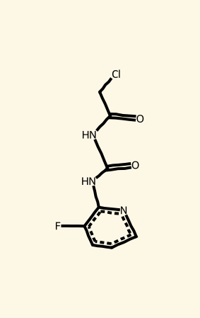 O=C(CCl)NC(=O)Nc1ncccc1F